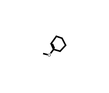 COC1=[C]CCCC1